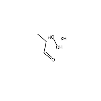 CCC=O.OO.[KH]